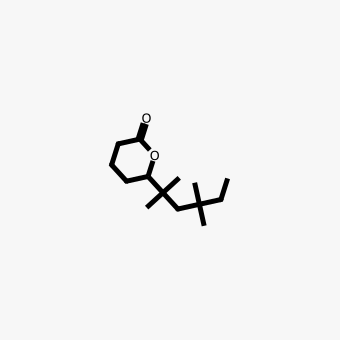 CCC(C)(C)CC(C)(C)C1CCCC(=O)O1